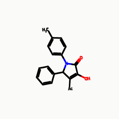 CC(=O)C1=C(O)C(=O)N(c2ccc(C)cc2)C1c1ccccc1